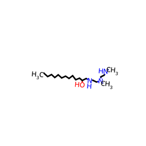 CCCCCCCCCCCCC(O)CNCCN(C)CCNC